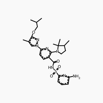 Cc1cn(-c2ccc(C(=O)NS(=O)(=O)c3cccc(N)n3)c(N3CCC(C)C3(C)C)n2)nc1OCC(C)C